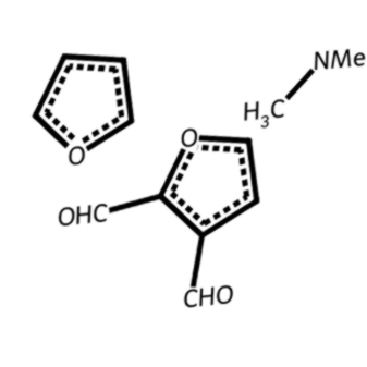 CNC.O=Cc1ccoc1C=O.c1ccoc1